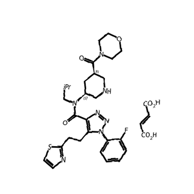 CC(C)CN(C(=O)c1nnn(-c2ccccc2F)c1CCc1nccs1)[C@@H]1CNC[C@H](C(=O)N2CCOCC2)C1.O=C(O)C=CC(=O)O